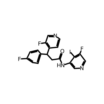 O=C(CC(c1ccc(F)cc1)c1ccncc1F)Nc1cncc(F)c1I